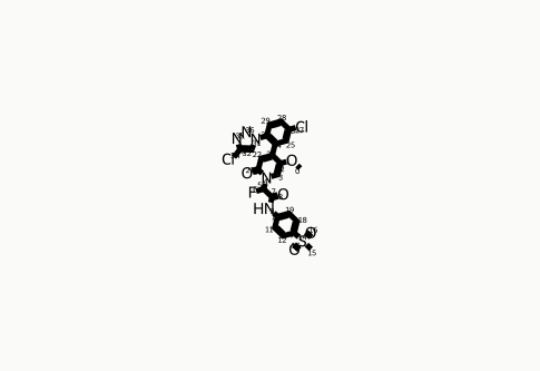 COc1cn(C(F)C(=O)Nc2ccc(S(C)(=O)=O)cc2)c(=O)cc1-c1cc(Cl)ccc1-n1cc(Cl)nn1